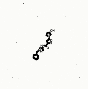 O=C(Nc1cnn(Cc2ccccc2)c1)c1cc(N2CC[C@@H](O)C2)on1